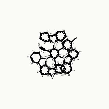 Cc1ccc(-c2c(-n3c4ccccc4c4ccccc43)c(C#N)c(N3c4c(ccc5oc6ccccc6c45)C4C=CC=CC43)c(C#N)c2-n2c3ccccc3c3ccccc32)cc1